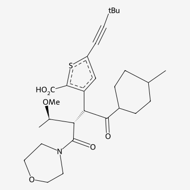 CO[C@H](C)[C@@H](C(=O)N1CCOCC1)C(C(=O)C1CCC(C)CC1)c1cc(C#CC(C)(C)C)sc1C(=O)O